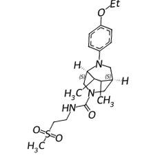 CCOc1ccc(N2C[C@H]3CN(C(=O)NCCS(C)(=O)=O)C[C@@H]2C(C)C3C)cc1